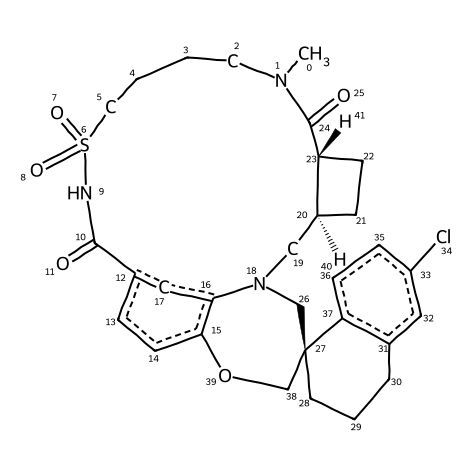 CN1CCCCS(=O)(=O)NC(=O)c2ccc3c(c2)N(C[C@@H]2CC[C@H]2C1=O)C[C@@]1(CCCc2cc(Cl)ccc21)CO3